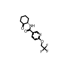 O=C(N[C@H]1CCCCC1=O)c1ccc(OCC(F)(F)F)nc1